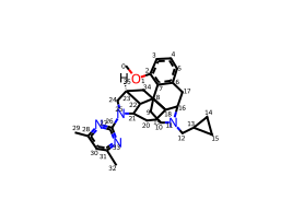 COc1cccc2c1C13CCN(CC4CC4)C(C2)C12CCC1C3[C@@H](CN1c1nc(C)cc(C)n1)C2